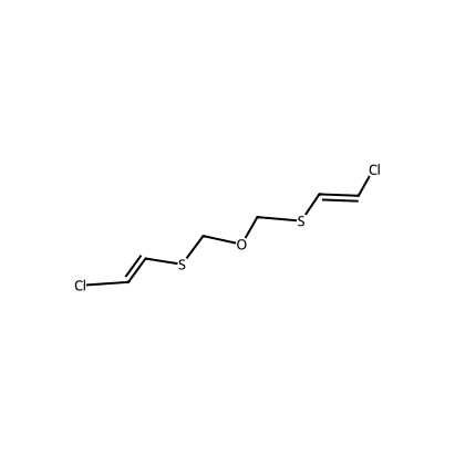 ClC=CSCOCSC=CCl